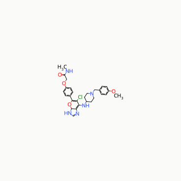 CNC(=O)COc1ccc(C2=C(Cl)C(NC3CCN(Cc4ccc(OC)cc4)CC3)=C3N=CNC3O2)cc1